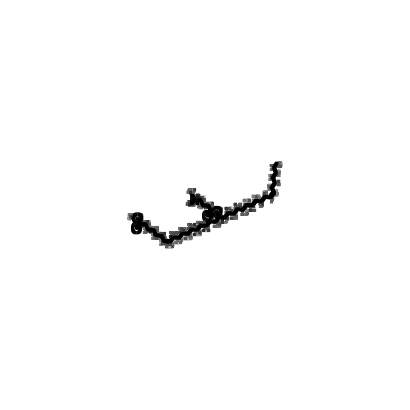 CCCCCC/C=C\CCCCCCCCCCC(CCCCCCCCCC/C=C\CCCCCC(=O)OC)OC(=O)CCCN(C)C